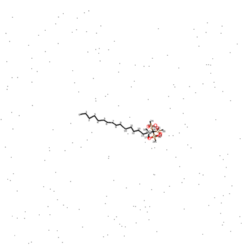 CCCCCCCCCCCCCCC[Si](C)(C)C(S(C)(=O)=O)(S(C)(=O)=O)S(C)(=O)=O